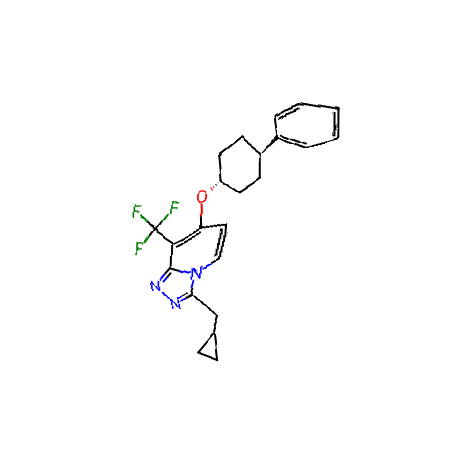 FC(F)(F)c1c(O[C@H]2CC[C@H](c3ccccc3)CC2)ccn2c(CC3CC3)nnc12